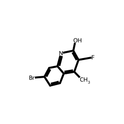 Cc1c(F)c(O)nc2cc(Br)ccc12